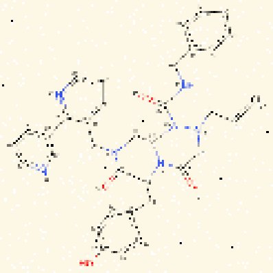 C=CCN1CC(=O)N2C(Cc3ccc(O)cc3)C(=O)N(Cc3cccnc3-c3cccnc3)CC2N1C(=O)NCc1ccccc1